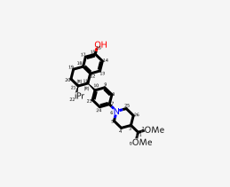 COC(OC)C1CCN(c2ccc([C@@H]3c4ccc(O)cc4CC[C@@H]3C(C)C)cc2)CC1